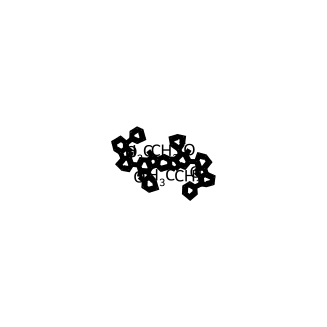 CC1(C)c2cc3c(cc2-c2c1cc(-c1cccc4c1oc1c(-c5ccccc5)cccc14)c1oc4ccccc4c21)C(C)(C)c1cc(-c2cccc4c2oc2c(-c5ccccc5)cccc24)c2oc4ccccc4c2c1-3